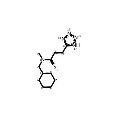 CN(CC1CCCCC1)C(=S)CCc1nnn[nH]1